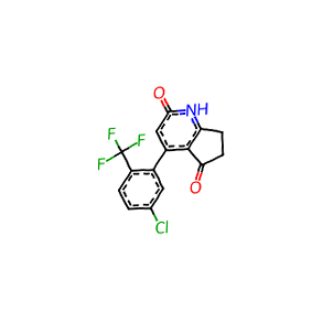 O=C1CCc2[nH]c(=O)cc(-c3cc(Cl)ccc3C(F)(F)F)c21